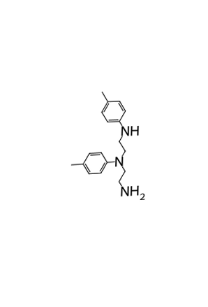 Cc1ccc(NCCN(CCN)c2ccc(C)cc2)cc1